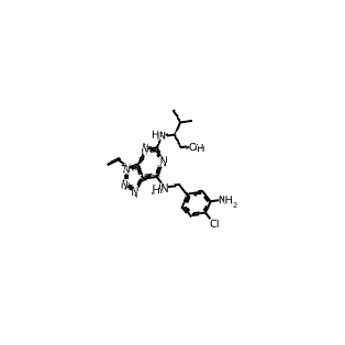 CCn1nnc2c(NCc3ccc(Cl)c(N)c3)nc(NC(CO)C(C)C)nc21